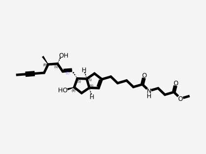 CC#CC[C@@H](C)[C@H](O)/C=C/[C@@H]1[C@H]2CC(CCCCC(=O)NCCC(=O)OC)=C[C@H]2C[C@H]1O